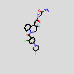 C[C@H]1CCN(c2ccc(C(=O)N3CCC(F)(F)/C(=C\C(=O)NCC(N)=O)c4ccccc43)c(Cl)c2)C1